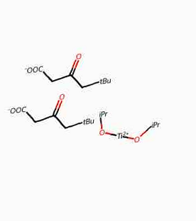 CC(C)(C)CC(=O)CC(=O)[O-].CC(C)(C)CC(=O)CC(=O)[O-].CC(C)[O][Ti+2][O]C(C)C